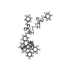 O=C(NCCCC[C@H](NCc1ccc(-c2ccccc2-c2nnnn2C(c2ccccc2)(c2ccccc2)c2ccccc2)cc1)C(=O)OCc1ccccc1)OCc1ccccc1